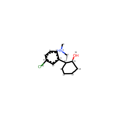 CNC[C@@]1(c2cccc(Cl)c2)CCCC[C@@H]1O